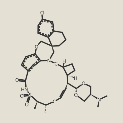 C[C@@H]1[C@@H](C)C/C=C/[C@H]([C@H]2OC[C@H](N(C)C)CO2)[C@@H]2CC[C@H]2CN2C[C@@]3(CCCc4cc(Cl)ccc43)COc3ccc(cc32)C(=O)NS1(=O)=O